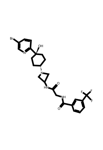 O=C(CNC(=O)c1cccc(C(F)(F)F)c1)NC1CN([C@H]2CC[C@@](O)(c3ccc(Br)cn3)CC2)C1